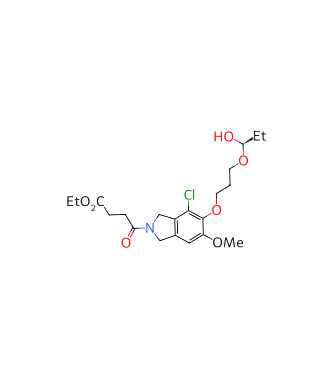 CCOC(=O)CCC(=O)N1Cc2cc(OC)c(OCCCO[C@@H](O)CC)c(Cl)c2C1